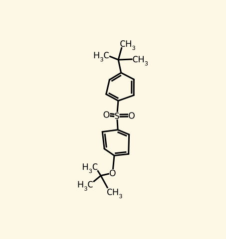 CC(C)(C)Oc1ccc(S(=O)(=O)c2ccc(C(C)(C)C)cc2)cc1